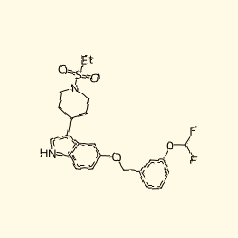 CCS(=O)(=O)N1CCC(c2c[nH]c3ccc(OCc4cccc(OC(F)F)c4)cc23)CC1